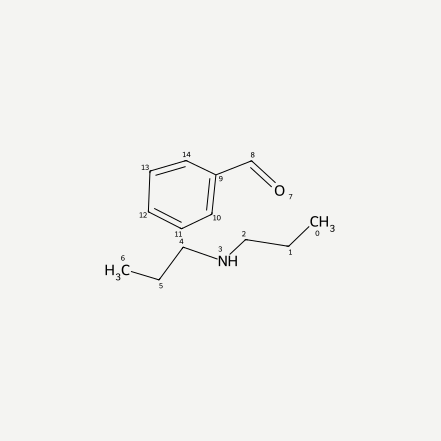 CCCNCCC.O=Cc1ccccc1